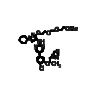 COCCOCCOCCOc1nn(C2CCCCC2)cc1Nc1ncc(-c2ccc(Cl)c(O[C@@H](C)Cn3cncn3)c2)cn1